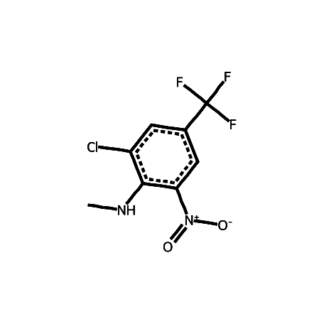 CNc1c(Cl)cc(C(F)(F)F)cc1[N+](=O)[O-]